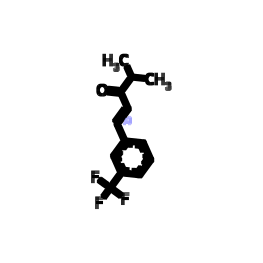 CC(C)C(=O)/C=C/c1cccc(C(F)(F)F)c1